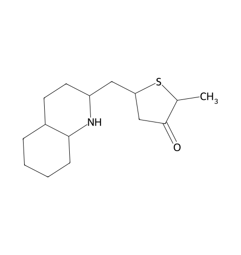 CC1SC(CC2CCC3CCCCC3N2)CC1=O